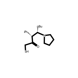 CCCC[C@@H]([C@H](C(=O)CS)C(C)C)N1CCCC1